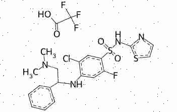 CN(C)CC(Nc1cc(F)c(S(=O)(=O)Nc2nccs2)cc1Cl)c1ccccc1.O=C(O)C(F)(F)F